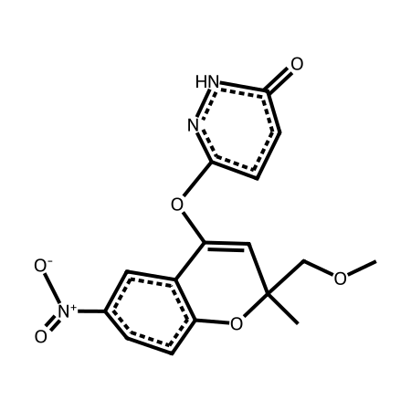 COCC1(C)C=C(Oc2ccc(=O)[nH]n2)c2cc([N+](=O)[O-])ccc2O1